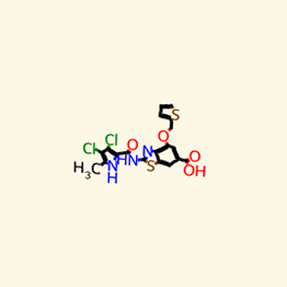 Cc1[nH]c(C(=O)Nc2nc3c(OCc4cccs4)cc(C(=O)O)cc3s2)c(Cl)c1Cl